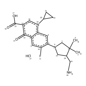 CC1(C)CN(c2cc3c(cc2F)c(=O)c(C(=O)O)cn3C2CC2)CC1CN.Cl